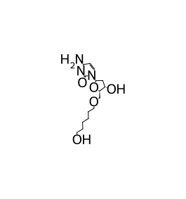 Nc1ccn([C@H]2C[C@H](O)[C@@H](COCCCCCCO)O2)c(=O)n1